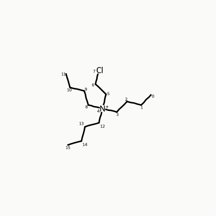 CCCC[N+](CCCl)(CCCC)CCCC